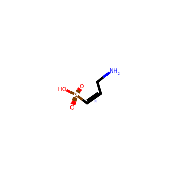 NC/C=C\S(=O)(=O)O